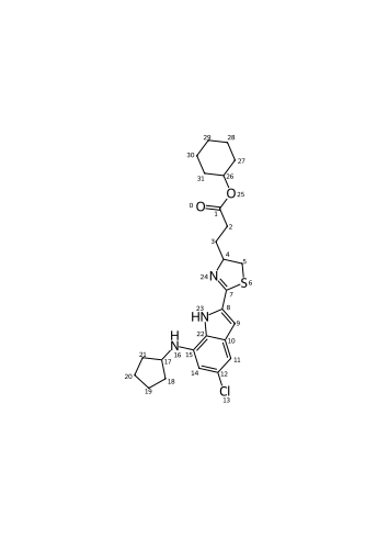 O=C(CCC1CSC(c2cc3cc(Cl)cc(NC4CCCC4)c3[nH]2)=N1)OC1CCCCC1